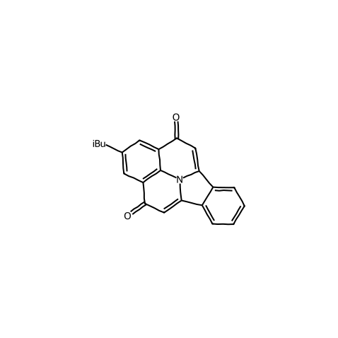 CCC(C)c1cc2c(=O)cc3c4ccccc4c4cc(=O)c(c1)c2n34